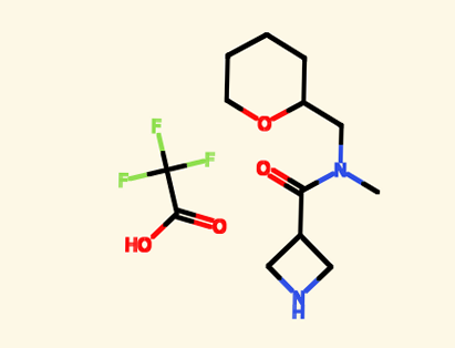 CN(CC1CCCCO1)C(=O)C1CNC1.O=C(O)C(F)(F)F